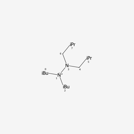 CCC(C)[N+](C(C)CC)N(CC(C)C)CC(C)C